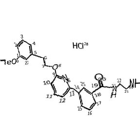 COc1cccc(CCOc2cccc(-c3cccc(C(=O)NCCN)c3)n2)c1.Cl